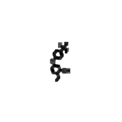 CCC1C=CC(OC2=CC=C(C(F)(F)F)CC2)=CC1O